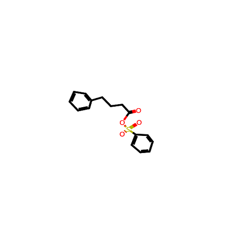 O=C(CCCc1ccccc1)OS(=O)(=O)c1ccccc1